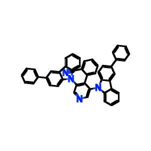 N#Cc1ccccc1-c1c(-n2c3ccccc3c3cc(-c4ccccc4)ccc32)cncc1-n1c2ccccc2c2cc(-c3ccccc3)ccc21